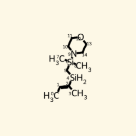 CC=C(C)[SiH2]C[Si](C)(C)N1CCOCC1